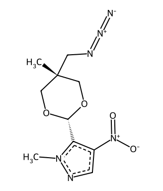 Cn1ncc([N+](=O)[O-])c1[C@H]1OC[C@@](C)(CN=[N+]=[N-])CO1